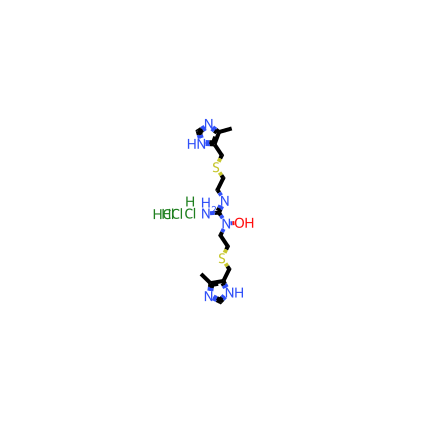 Cc1nc[nH]c1CSCC/N=C(\N)N(O)CCSCc1[nH]cnc1C.Cl.Cl.Cl